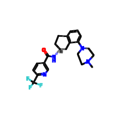 CN1CCN(c2cccc3c2C[C@H](NC(=O)c2ccc(C(F)(F)F)nc2)CC3)CC1